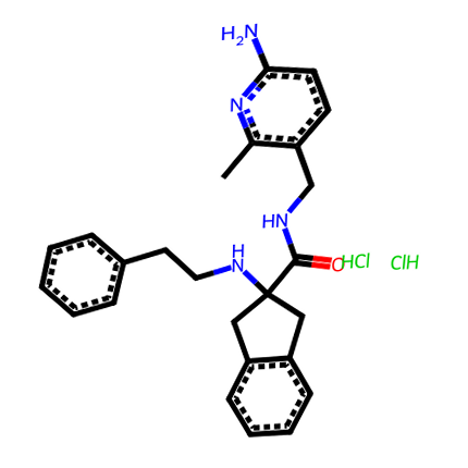 Cc1nc(N)ccc1CNC(=O)C1(NCCc2ccccc2)Cc2ccccc2C1.Cl.Cl